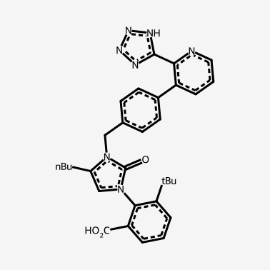 CCCCc1cn(-c2c(C(=O)O)cccc2C(C)(C)C)c(=O)n1Cc1ccc(-c2cccnc2-c2nnn[nH]2)cc1